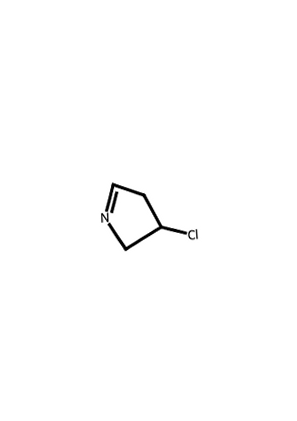 ClC1CC=NC1